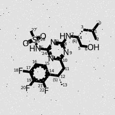 CC(C)C[C@H](CO)Nc1nc(C[C@H](C)c2ccc(F)c(F)c2F)nc(NS(C)(=O)=O)n1